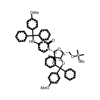 COc1ccc(C(Nc2ccn([C@@H]3O[C@H](CO[Si](C)(C)C(C)(C)C)[C@@H](OC(c4ccccc4)(c4ccccc4)c4ccc(OC)cc4)C3(F)F)c(=O)n2)(c2ccccc2)c2ccccc2)cc1